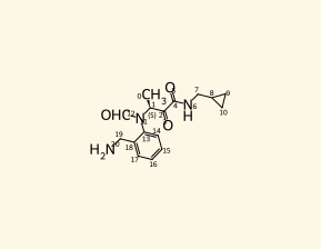 C[C@@H](C(=O)C(=O)NCC1CC1)N(C=O)c1ccccc1CN